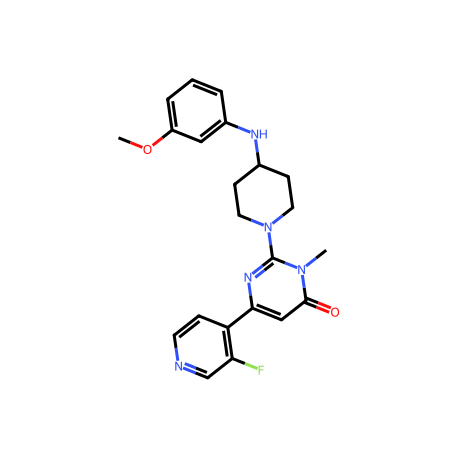 COc1cccc(NC2CCN(c3nc(-c4ccncc4F)cc(=O)n3C)CC2)c1